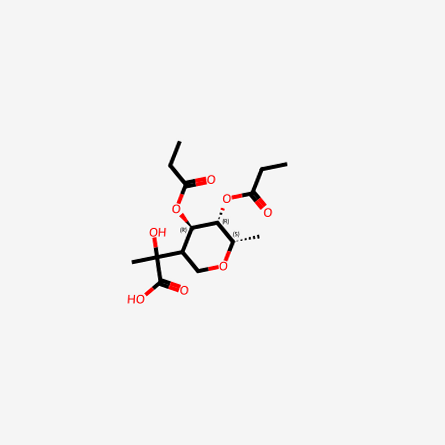 CCC(=O)O[C@@H]1[C@H](C)OCC(C(C)(O)C(=O)O)[C@H]1OC(=O)CC